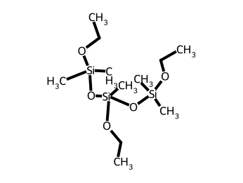 CCO[Si](C)(C)O[Si](C)(OCC)O[Si](C)(C)OCC